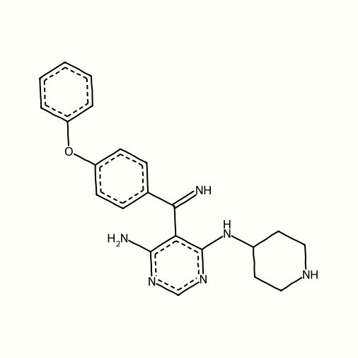 N=C(c1ccc(Oc2ccccc2)cc1)c1c(N)ncnc1NC1CCNCC1